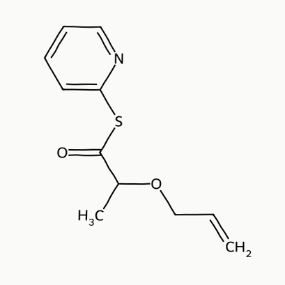 C=CCOC(C)C(=O)Sc1ccccn1